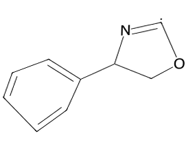 [C]1=NC(c2ccccc2)CO1